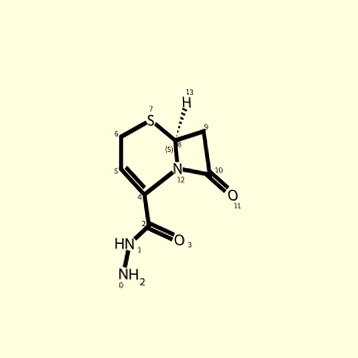 NNC(=O)C1=CCS[C@H]2CC(=O)N12